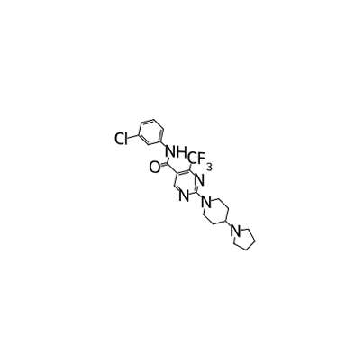 O=C(Nc1cccc(Cl)c1)c1cnc(N2CCC(N3CCCC3)CC2)nc1C(F)(F)F